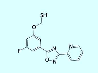 Fc1cc(OCS)cc(-c2nc(-c3ccccn3)no2)c1